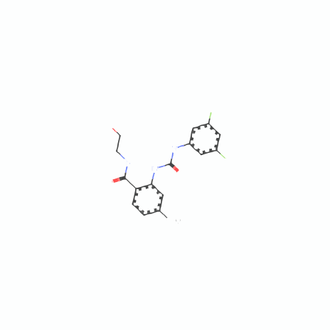 COc1ccc(C(=O)NCCO)c(NC(=O)Nc2cc(F)cc(F)c2)c1